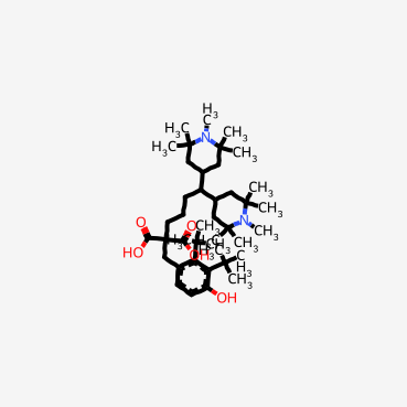 CN1C(C)(C)CC(C(CCCC(Cc2ccc(O)c(C(C)(C)C)c2C(C)(C)C)(C(=O)O)C(=O)O)C2CC(C)(C)N(C)C(C)(C)C2)CC1(C)C